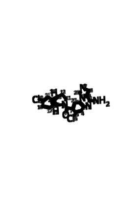 Nc1nc2cc(Cl)c(C(=O)N3CC[C@H]4C[C@@H]3c3ccc(Cl)cc34)cc2n2cncc12